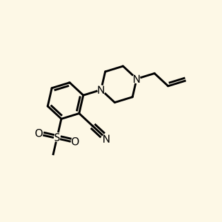 C=CCN1CCN(c2cccc(S(C)(=O)=O)c2C#N)CC1